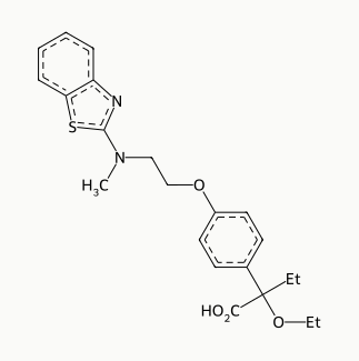 CCOC(CC)(C(=O)O)c1ccc(OCCN(C)c2nc3ccccc3s2)cc1